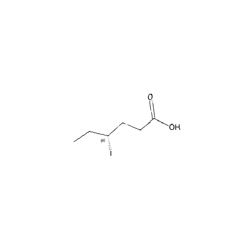 CC[C@@H](I)CCC(=O)O